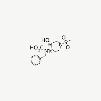 CS(=O)(=O)N1CC[C@@H](N(Cc2ccccc2)C(=O)O)[C@H](O)C1